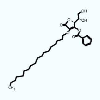 CCCCCCCCCCCCCCCCCCOC1=C(OC(=O)c2ccccc2)[C@@H]([C@@H](O)CO)OC1=O